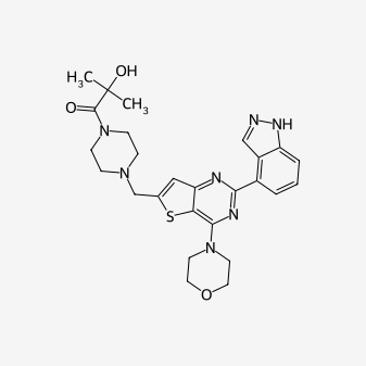 CC(C)(O)C(=O)N1CCN(Cc2cc3nc(-c4cccc5[nH]ncc45)nc(N4CCOCC4)c3s2)CC1